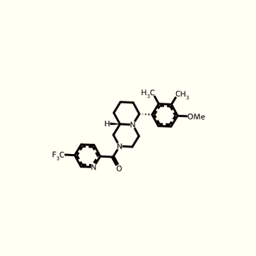 COc1ccc([C@H]2CCC[C@H]3CN(C(=O)c4ccc(C(F)(F)F)cn4)CCN32)c(C)c1C